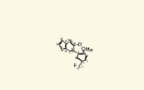 COc1ccc(C(F)(F)F)cc1N1Cc2sccc2N=C1Cl